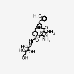 Cc1ccccc1C[C@H](CNCC1CCN(C(=O)CCNC[C@H](O)[C@@H](O)[C@H](O)CCO)CC1)CNC(=O)c1nc(Cl)c(N)nc1N